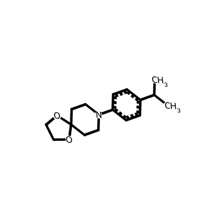 CC(C)c1ccc(N2CCC3(CC2)OCCO3)cc1